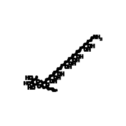 C/C=C/C=C/CC(OC1OC(C)C(O)C(O)C1O)C(C)C(=O)CC(O)CC(O)CC(O)/C=C/CC(O)CC(O)CC(O)CC(O)/C=C/CC(O)CC(O)CCCN